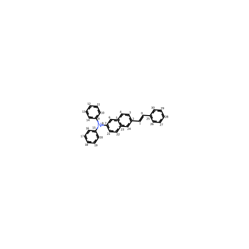 C(=C\c1ccc2cc(N(c3ccccc3)c3ccccc3)ccc2c1)/c1ccccc1